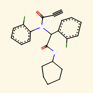 C#CC(=O)N(c1ccccc1F)C(C(=O)NC1CCCCC1)c1ccccc1F